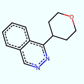 c1ccc2c(C3CCOCC3)nncc2c1